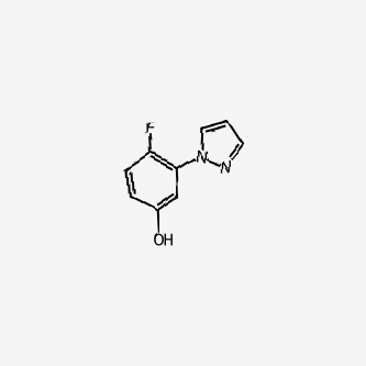 Oc1ccc(F)c(-n2cccn2)c1